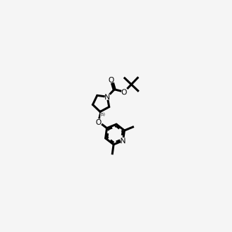 Cc1cc(O[C@H]2CCN(C(=O)OC(C)(C)C)C2)cc(C)n1